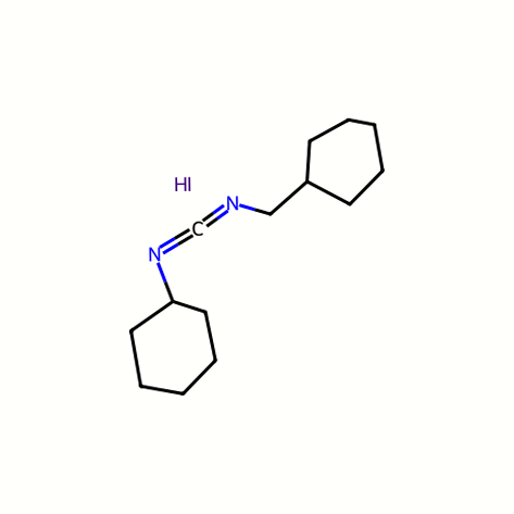 C(=NCC1CCCCC1)=NC1CCCCC1.I